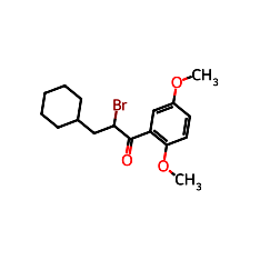 COc1ccc(OC)c(C(=O)C(Br)CC2CCCCC2)c1